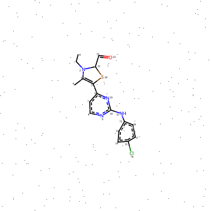 CCN1C(C)=C(c2ccnc(Nc3ccc(Cl)cc3)n2)SC1C=O